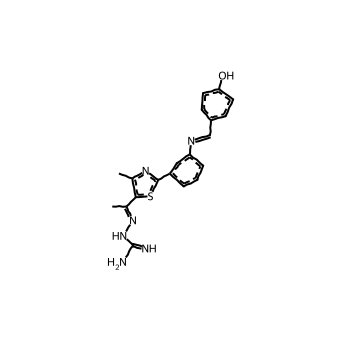 CC(=NNC(=N)N)c1sc(-c2cccc(N=Cc3ccc(O)cc3)c2)nc1C